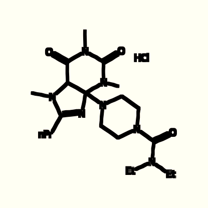 CCCC1=NC2(N3CCN(C(=O)N(CC)CC)CC3)C(C(=O)N(C)C(=O)N2C)N1C.Cl